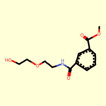 COC(=O)c1cccc(C(=O)NCCOCCO)c1